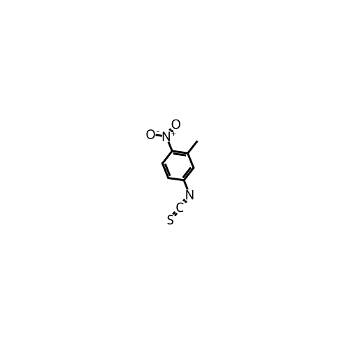 Cc1cc(N=C=S)ccc1[N+](=O)[O-]